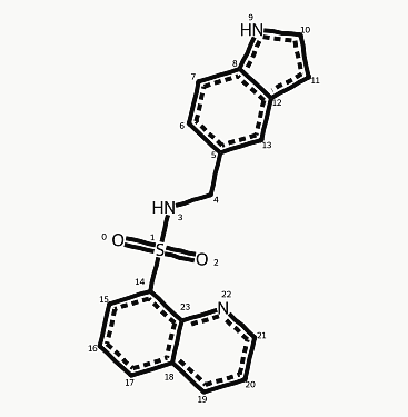 O=S(=O)(NCc1ccc2[nH]ccc2c1)c1cccc2cccnc12